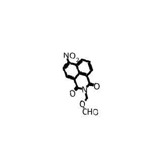 O=COCN1C(=O)c2cccc3c([N+](=O)[O-])ccc(c23)C1=O